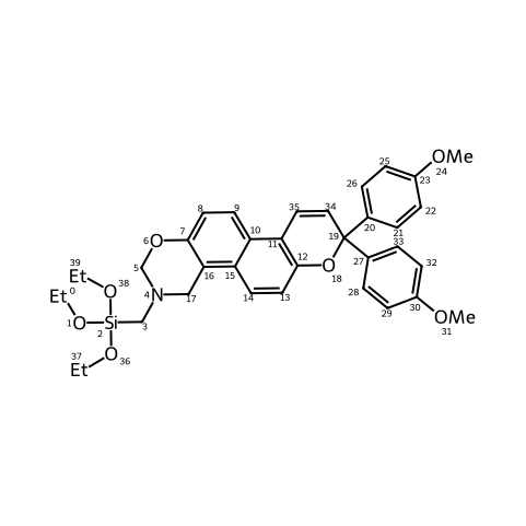 CCO[Si](CN1COc2ccc3c4c(ccc3c2C1)OC(c1ccc(OC)cc1)(c1ccc(OC)cc1)C=C4)(OCC)OCC